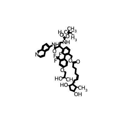 C[C@@H]1C(C/C=C\CCCC(=O)OCc2ccc(C(CNC(=O)OC(C)(C)C)C(=O)Nc3ccc4cnccc4c3)cc2-c2ccc(OC[C@@H](C)O)cc2C(F)(F)F)[C@@H](O)C[C@H]1O